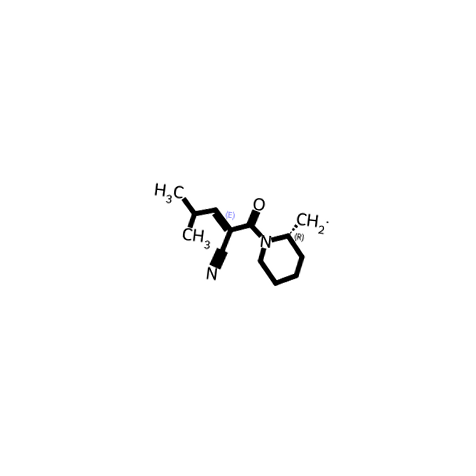 [CH2][C@@H]1CCCCN1C(=O)/C(C#N)=C/C(C)C